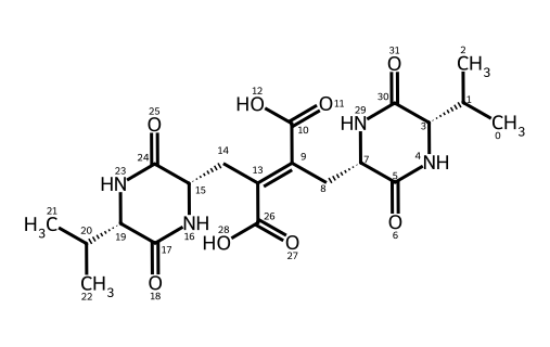 CC(C)[C@@H]1NC(=O)[C@H](C/C(C(=O)O)=C(/C[C@@H]2NC(=O)[C@H](C(C)C)NC2=O)C(=O)O)NC1=O